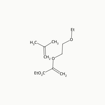 C=C(C)C.C=C(OCCOCC)C(=O)OCC